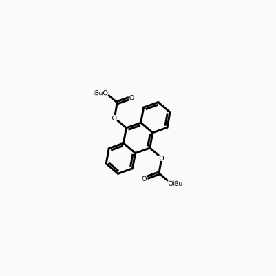 CC(C)COC(=O)Oc1c2ccccc2c(OC(=O)OCC(C)C)c2ccccc12